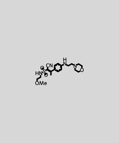 COCCNS(=O)(=O)/C(C#N)=C(\C)c1ccc(NCCN2CCOCC2)cc1